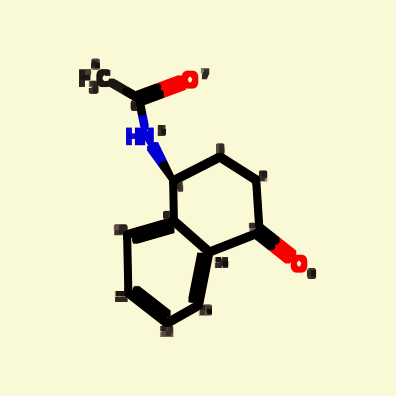 O=C1CC[C@H](NC(=O)C(F)(F)F)c2ccccc21